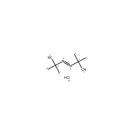 CC(C)(C#N)/N=N/C(C)(C)C#N.Cl